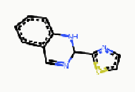 C1=NC(c2nccs2)Nc2ccccc21